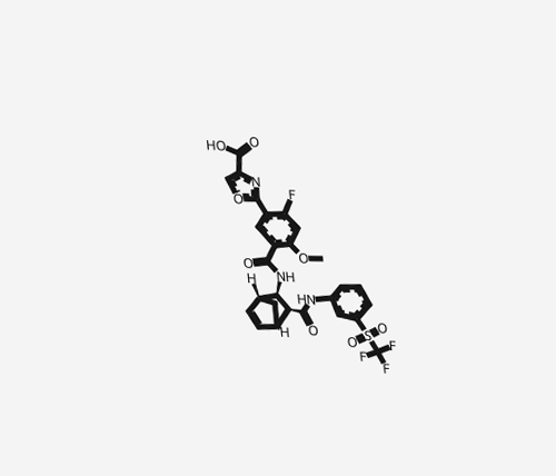 COc1cc(F)c(-c2nc(C(=O)O)co2)cc1C(=O)N[C@H]1[C@@H](C(=O)Nc2cccc(S(=O)(=O)C(F)(F)F)c2)[C@@H]2C=C[C@H]1C2